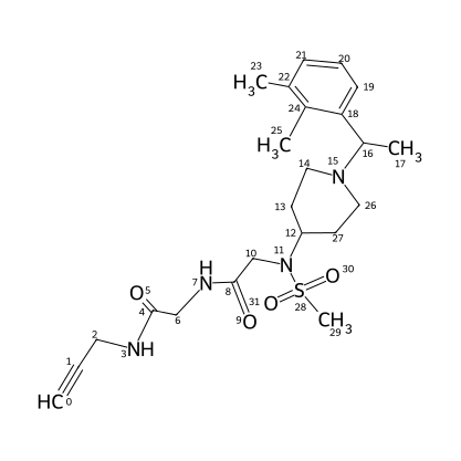 C#CCNC(=O)CNC(=O)CN(C1CCN(C(C)c2cccc(C)c2C)CC1)S(C)(=O)=O